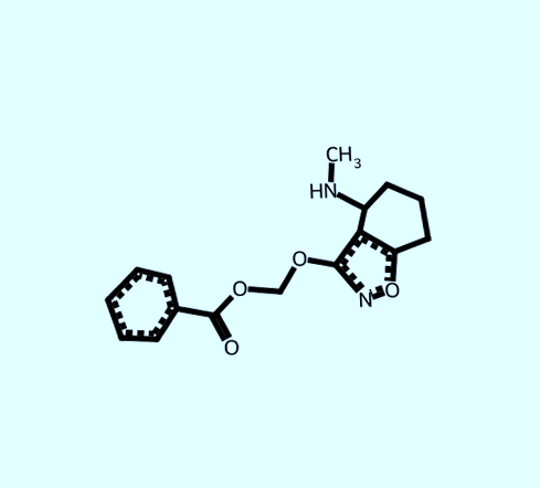 CNC1CCCc2onc(OCOC(=O)c3ccccc3)c21